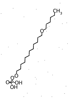 CCCCCCOCCCCCCCCCCCCOOP(=O)(O)O